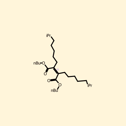 CCCCOC(=O)/C(CCCCCC(C)C)=C(/CCCCCC(C)C)C(=O)OCCCC